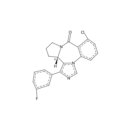 O=C1c2c(Cl)cccc2-n2cnc(-c3cccc(F)c3)c2[C@@H]2CCCN12